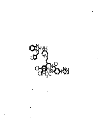 COc1ccc(-n2cnnn2)cc1C(=O)N(C)CC(CCN1CCC(Nc2nc3ccccc3n2Cc2ccoc2)CC1)c1ccc(Cl)c(Cl)c1